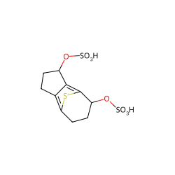 O=S(=O)(O)OC1CCc2sc1c1c2CCC1OS(=O)(=O)O